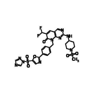 CS(=O)(=O)N1CCC(Nc2ncc3cc(C(F)F)c(=O)n(Cc4ccc(-c5ncc(S(=O)(=O)n6cncn6)o5)cc4)c3n2)CC1